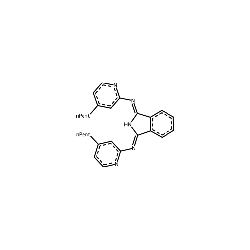 CCCCCc1ccnc(N=C2NC(=Nc3cc(CCCCC)ccn3)c3ccccc32)c1